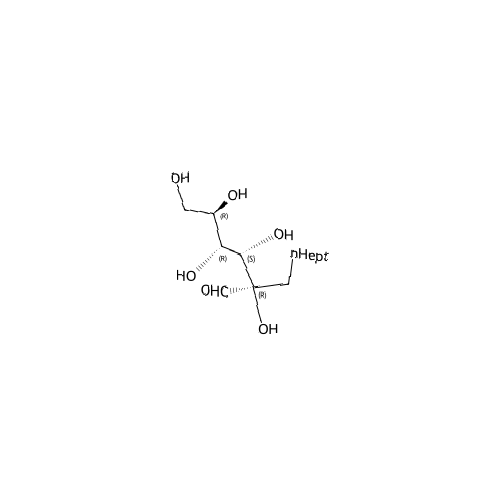 CCCCCCCC[C@](O)(C=O)[C@@H](O)[C@H](O)[C@H](O)CO